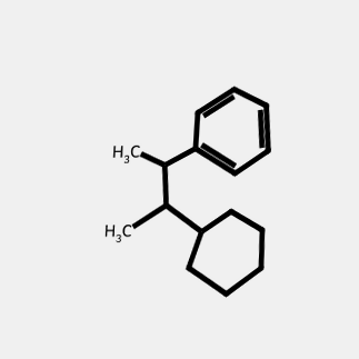 CC(c1ccccc1)C(C)C1CCCCC1